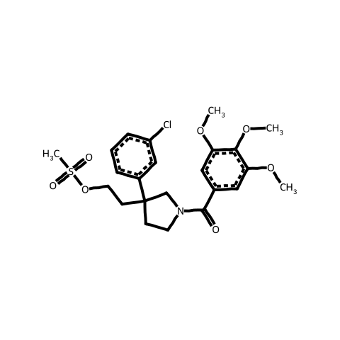 COc1cc(C(=O)N2CCC(CCOS(C)(=O)=O)(c3cccc(Cl)c3)C2)cc(OC)c1OC